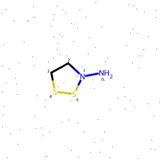 NN1CCSS1